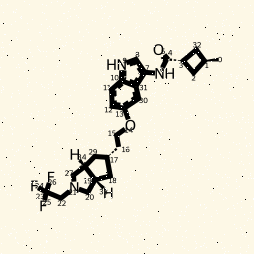 C[C@H]1C[C@H](C(=O)Nc2c[nH]c3ccc(OCC[C@@H]4C[C@@H]5CN(CC(F)(F)F)C[C@@H]5C4)cc23)C1